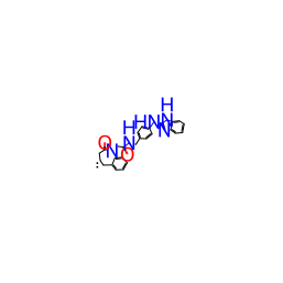 O=C(CN1C(=O)CC[C]c2ccccc21)NCc1ccc(Nc2nc3ccccc3[nH]2)cc1